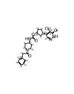 O=C(NC1CCN(C(=O)Cc2ccccc2)CC1)O[C@@H]1CCN(c2cn[nH]c(=O)c2Cl)C1